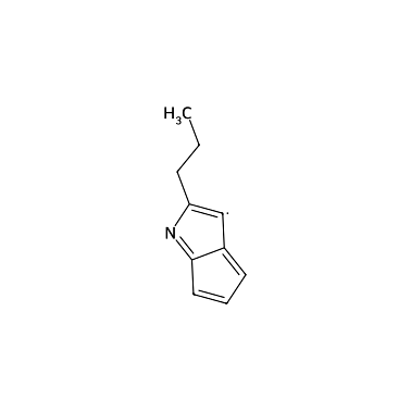 CCCC1=[C]C2=CC=CC2=N1